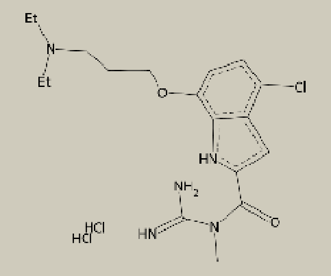 CCN(CC)CCCOc1ccc(Cl)c2cc(C(=O)N(C)C(=N)N)[nH]c12.Cl.Cl